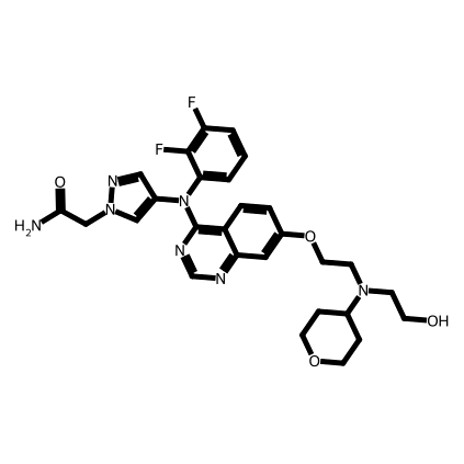 NC(=O)Cn1cc(N(c2cccc(F)c2F)c2ncnc3cc(OCCN(CCO)C4CCOCC4)ccc23)cn1